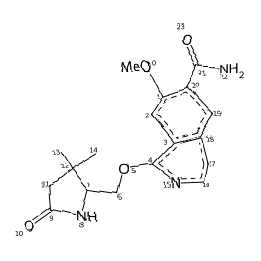 COc1cc2c(OCC3NC(=O)CC3(C)C)nccc2cc1C(N)=O